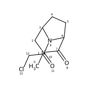 CN1CC2CCC(C1=O)N2C(=O)CCl